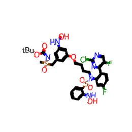 CC(C)(C)OC(=O)N=S(C)(=O)Cc1cc(NO)cc(OCCCCN(c2cc(F)ccc2-c2nc(Cl)ncc2F)S(=O)(=O)c2ccccc2NO)c1